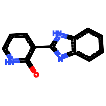 O=c1[nH]cccc1-c1nc2ccccc2[nH]1